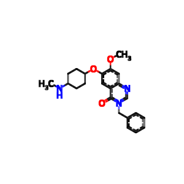 CNC1CCC(Oc2cc3c(=O)n(Cc4ccccc4)cnc3cc2OC)CC1